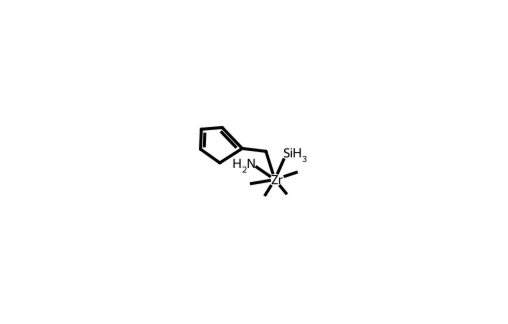 [CH3][Zr]([CH3])([CH3])([CH3])([NH2])([SiH3])[CH2]C1=CC=CC1